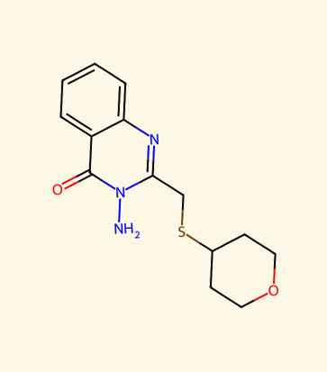 Nn1c(CSC2CCOCC2)nc2ccccc2c1=O